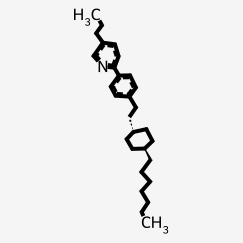 CCCCCCC[C@H]1CC[C@H](CCc2ccc(-c3ccc(CCC)cn3)cc2)CC1